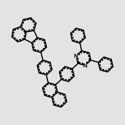 c1ccc(-c2cc(-c3ccccc3)nc(-c3ccc(-c4c(-c5ccc(-c6ccc7c(c6)-c6cccc8cccc-7c68)cc5)ccc5ccccc45)cc3)n2)cc1